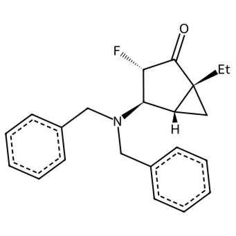 CC[C@@]12C[C@@H]1[C@@H](N(Cc1ccccc1)Cc1ccccc1)[C@H](F)C2=O